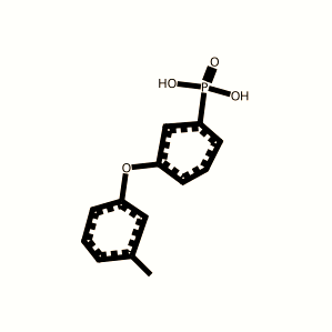 Cc1cccc(Oc2cccc(P(=O)(O)O)c2)c1